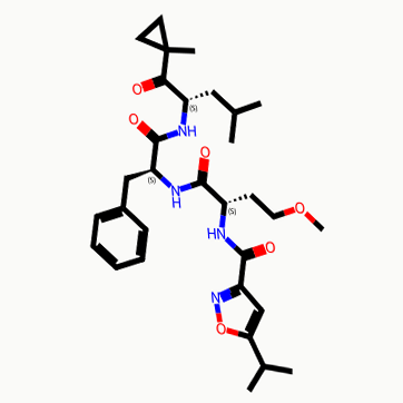 COCC[C@H](NC(=O)c1cc(C(C)C)on1)C(=O)N[C@@H](Cc1ccccc1)C(=O)N[C@@H](CC(C)C)C(=O)C1(C)CC1